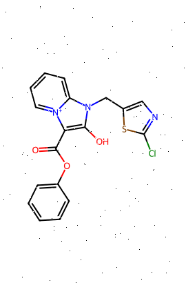 O=C(Oc1ccccc1)c1c(O)n(Cc2cnc(Cl)s2)c2cccc[n+]12